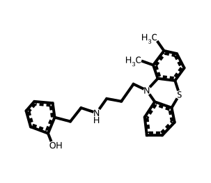 Cc1ccc2c(c1C)N(CCCNCCc1ccccc1O)c1ccccc1S2